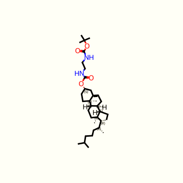 CC(C)CCC[C@@H](C)[C@H]1CC[C@H]2[C@@H]3CC=C4C[C@@H](OC(=O)NCCNC(=O)OC(C)(C)C)CC[C@]4(C)[C@H]3CC[C@]12C